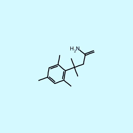 C=C(N)CC(C)(C)c1c(C)cc(C)cc1C